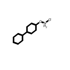 Cl[SiH2]OC1CCC(C2CCCCC2)CC1